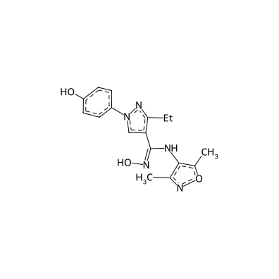 CCc1nn(-c2ccc(O)cc2)cc1C(=NO)Nc1c(C)noc1C